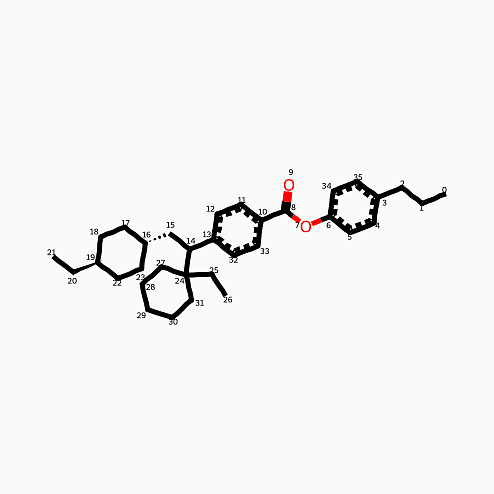 CCCc1ccc(OC(=O)c2ccc(C(C[C@H]3CC[C@H](CC)CC3)C3(CC)CCCCC3)cc2)cc1